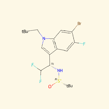 CC(C)(C)Cn1cc([C@H](N[S@@+]([O-])C(C)(C)C)C(F)F)c2cc(F)c(Br)cc21